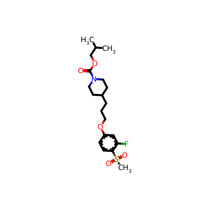 CC(C)COC(=O)N1CCC(CCCOc2ccc(S(C)(=O)=O)c(F)c2)CC1